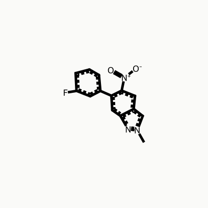 Cn1cc2cc([N+](=O)[O-])c(-c3cccc(F)c3)cc2n1